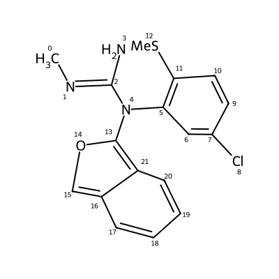 CN=C(N)N(c1cc(Cl)ccc1SC)c1occ2ccccc12